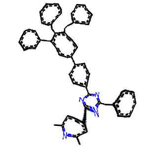 Cc1cc(-c2nc(-c3ccccc3)nc(-c3ccc(-c4cc(-c5ccccc5)c(-c5ccccc5)c(-c5ccccc5)c4)cc3)n2)cc(C)n1